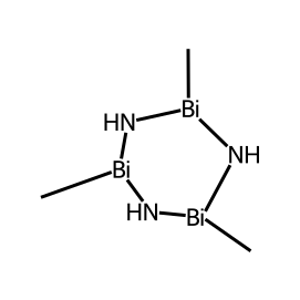 [CH3][Bi]1[NH][Bi]([CH3])[NH][Bi]([CH3])[NH]1